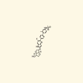 Cc1cc(N[SH](C)(C)=O)ccc1-c1ccc(-c2nc3cc(O[C@@H]4CO[C@H]5[C@@H]4OC[C@H]5O)[nH]c3cc2F)cc1